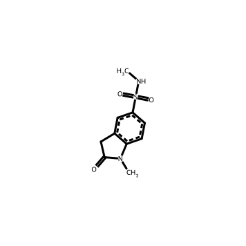 CNS(=O)(=O)c1ccc2c(c1)CC(=O)N2C